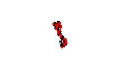 Cc1cnc2c(ccc3c(C)c(C)c(-c4ccc(-c5ccc6cc(-c7ccc8c(c7)C(c7ccccc7)(c7ccccc7)c7ccccc7-8)ccc6c5)cc4)nc32)c1C